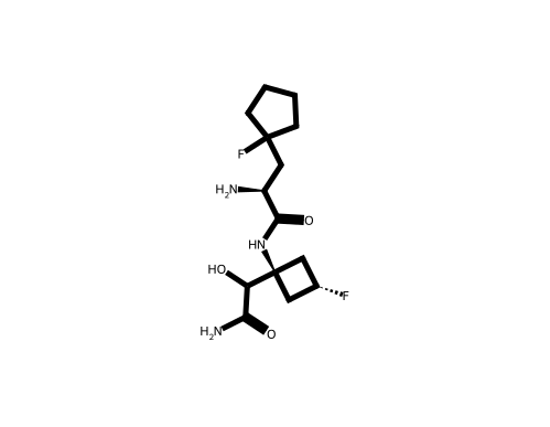 NC(=O)C(O)[C@]1(NC(=O)[C@@H](N)CC2(F)CCCC2)C[C@H](F)C1